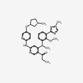 CCC(=O)c1cnc(Nc2ccc(O[C@H]3CCN(C)C3)cn2)cc1N(C)c1cccc(-c2ncn(C)n2)c1OC